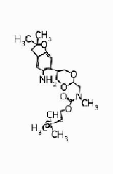 CN(C[C@H]1OC[C@@H](c2cc3c(cc2N)CC(C)(C)O3)CO1)C(=O)OCC[Si](C)(C)C